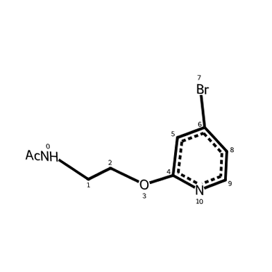 CC(=O)NCCOc1cc(Br)ccn1